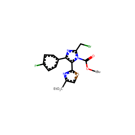 CCOC(=O)c1csc(-c2c(-c3ccc(F)cc3)nc(CBr)n2C(=O)OC(C)(C)C)n1